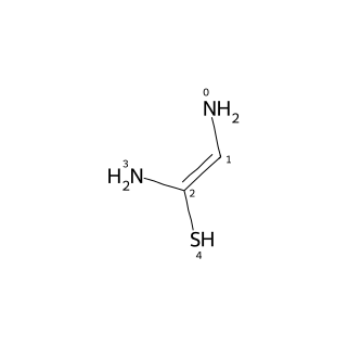 N/C=C(\N)S